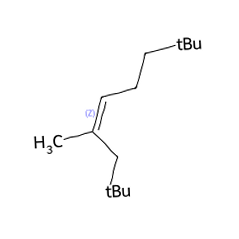 C/C(=C/CCC(C)(C)C)CC(C)(C)C